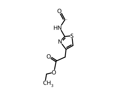 CCOC(=O)Cc1csc(N[C]=O)n1